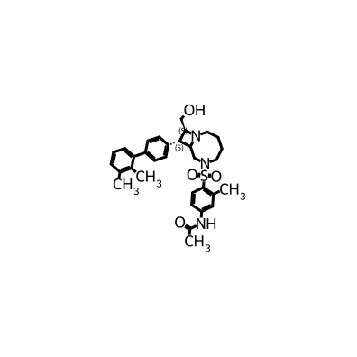 CC(=O)Nc1ccc(S(=O)(=O)N2CCCCN3C(C2)[C@H](c2ccc(-c4cccc(C)c4C)cc2)[C@H]3CO)c(C)c1